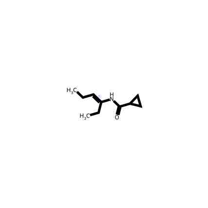 CC/C=C(\CC)NC(=O)C1CC1